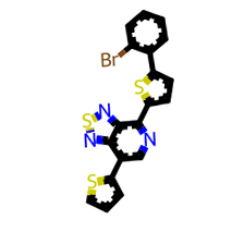 Brc1ccccc1-c1ccc(-c2ncc(-c3cccs3)c3nsnc23)s1